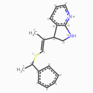 C/C(=C\SC(C)c1ccccc1)C1CNc2ncccc21